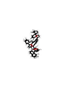 c1ccc(-c2ccc(N(c3ccccc3-c3ccc(-n4c5ccccc5c5c6ccccc6ccc54)cc3)c3ccc(-c4ccccc4)cc3-c3ccccc3)cc2)cc1